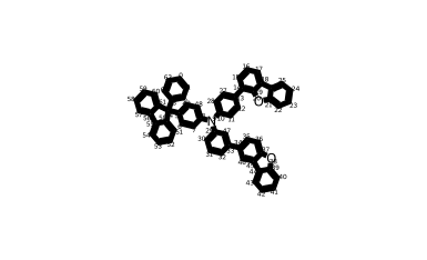 c1ccc(C2(c3ccc(N(c4ccc(-c5cccc6c5oc5ccccc56)cc4)c4cccc(-c5ccc6oc7ccccc7c6c5)c4)cc3)c3ccccc3-c3ccccc32)cc1